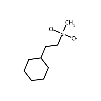 C[Si]([O])([O])CCC1CCCCC1